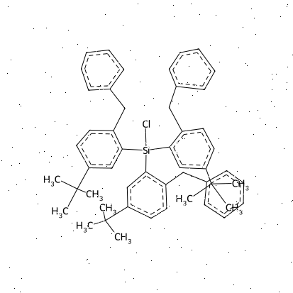 CC(C)(C)c1ccc(Cc2ccccc2)c([Si](Cl)(c2cc(C(C)(C)C)ccc2Cc2ccccc2)c2cc(C(C)(C)C)ccc2Cc2ccccc2)c1